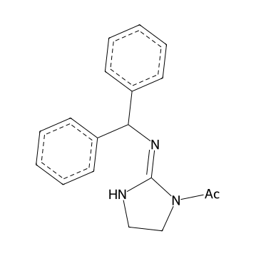 CC(=O)N1CCN/C1=N\C(c1ccccc1)c1ccccc1